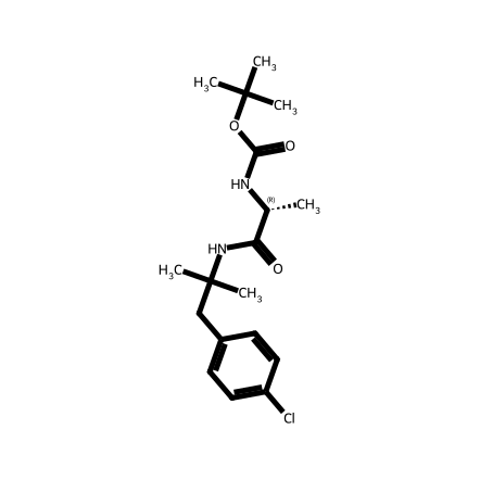 C[C@@H](NC(=O)OC(C)(C)C)C(=O)NC(C)(C)Cc1ccc(Cl)cc1